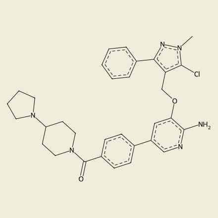 Cn1nc(-c2ccccc2)c(COc2cc(-c3ccc(C(=O)N4CCC(N5CCCC5)CC4)cc3)cnc2N)c1Cl